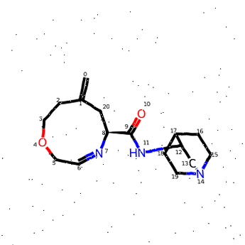 C=C1CCOC/C=N\[C@H](C(=O)NC2CN3CCC2CC3)C1